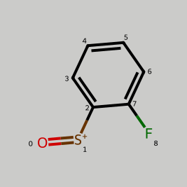 O=[S+]c1ccccc1F